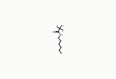 CCCCCCSC(=O)C(C)(C)C